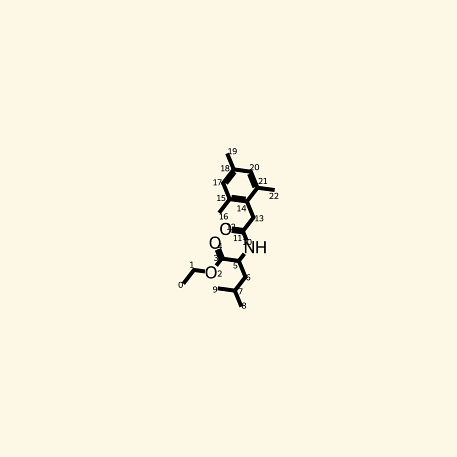 CCOC(=O)C(CC(C)C)NC(=O)Cc1c(C)cc(C)cc1C